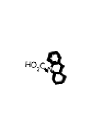 O=C(O)CN1C2=CC=CCC2=Cc2ccccc21